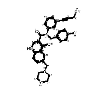 O=C(c1c[nH]c2ccc(CN3CCOCC3)cc2c1=O)N(Cc1ccc(Cl)cc1)c1cccc(C#CCO)c1